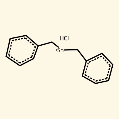 Cl.c1ccc([CH2][Sn][CH2]c2ccccc2)cc1